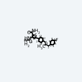 CN(Cc1ccc(F)cc1)Cc1ccc(-c2cc(NC(N)=O)c(C(N)=O)s2)cc1